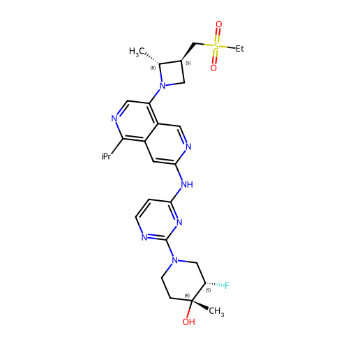 CCS(=O)(=O)C[C@H]1CN(c2cnc(C(C)C)c3cc(Nc4ccnc(N5CC[C@@](C)(O)[C@@H](F)C5)n4)ncc23)[C@@H]1C